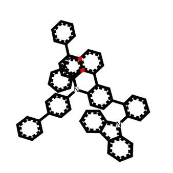 c1ccc(-c2ccc(N(c3ccc(-c4ccccc4)cc3)c3ccc(-c4ccccc4-n4c5ccccc5c5ccccc54)cc3-c3cccc4oc5ccccc5c34)cc2)cc1